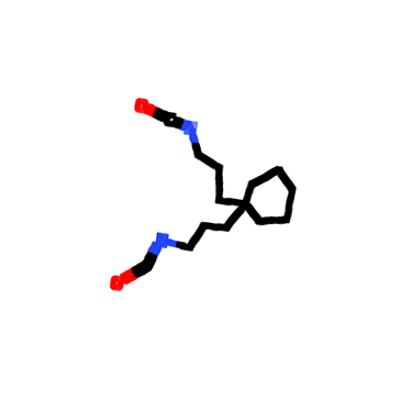 O=C=NCCCC1(CCCN=C=O)CCCCC1